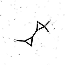 FC1(F)CC1C1CC1Cl